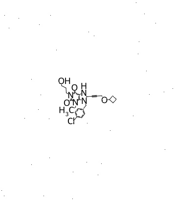 CCn1c2c(c(=O)n(CCCO)c1=O)NC(C#CCOC1CCC1)N2Cc1ccc(Cl)cc1